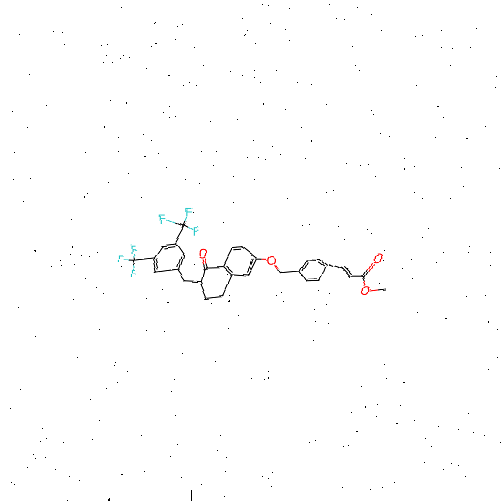 COC(=O)/C=C/c1ccc(COc2ccc3c(c2)CCC(Cc2cc(C(F)(F)F)cc(C(F)(F)F)c2)C3=O)cc1